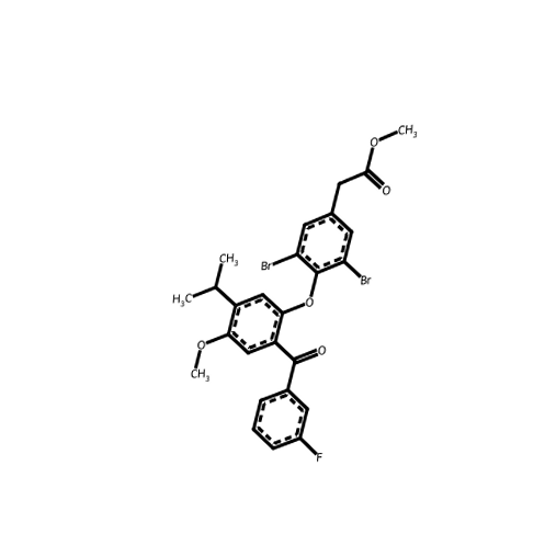 COC(=O)Cc1cc(Br)c(Oc2cc(C(C)C)c(OC)cc2C(=O)c2cccc(F)c2)c(Br)c1